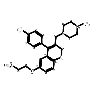 CN1CCN(CC2=C(c3ccc(C(F)(F)F)cc3)c3cc(OCCC(=O)O)ccc3OC2)CC1